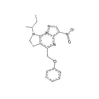 CCC(C)N1CCc2c(COc3ccccc3)nc3c([N+](=O)[O-])cnn3c21